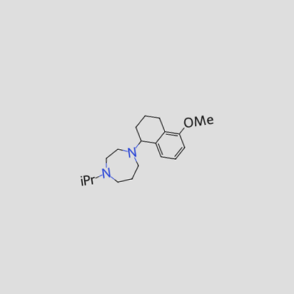 COc1cccc2c1CCCC2N1CCCN(C(C)C)CC1